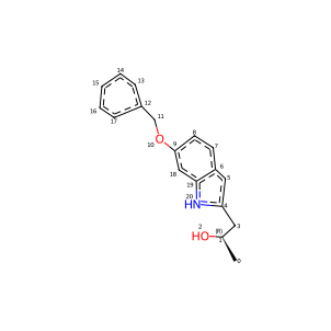 C[C@@H](O)Cc1cc2ccc(OCc3ccccc3)cc2[nH]1